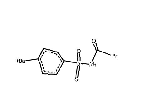 CC(C)C(=O)NS(=O)(=O)c1ccc(C(C)(C)C)cc1